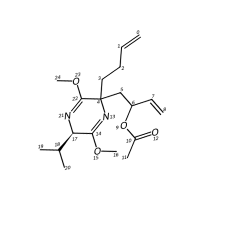 C=CCCC1(CC(C=C)OC(C)=O)N=C(OC)[C@@H](C(C)C)N=C1OC